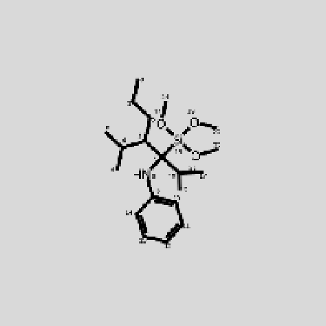 CCCC(C(C)C)C(Nc1ccccc1)(C(C)C)[Si](OC)(OC)OC